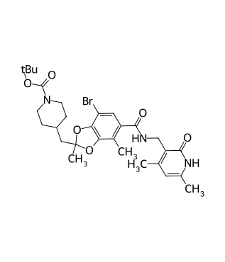 Cc1cc(C)c(CNC(=O)c2cc(Br)c3c(c2C)OC(C)(CC2CCN(C(=O)OC(C)(C)C)CC2)O3)c(=O)[nH]1